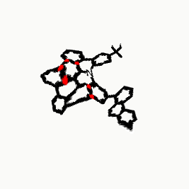 CC(C)(C)c1ccc(N(c2cccc(-c3cccc4c3ccc3ccccc34)c2)c2ccccc2-c2cccc3cccc(-c4ccccc4)c23)c(-c2ccccc2)c1